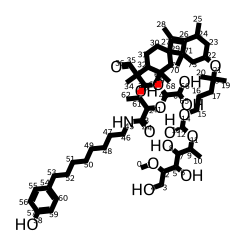 COC(CO)C(O)C(O)C(C)O[C@@H](O)OCCCC(C)(C)OC1CC(C)C2=C(C)C3(CCC(C(C)(C=O)C(C)OC(OC(C(=O)NCCCCCCCCc4ccc(O)cc4)C(C)O)C(O)O)C(C)(C)C3)C2(C)C1